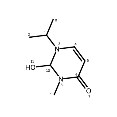 CC(C)N1C=CC(=O)N(C)C1O